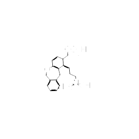 CN(C)CC/C=C1\C2=C(C=CC1CC(=O)O)OCc1ccccc1C2